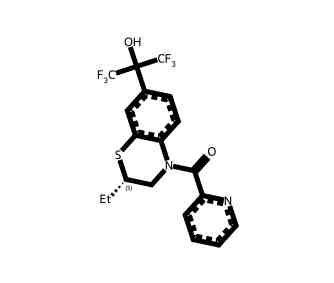 CC[C@H]1CN(C(=O)c2ccccn2)c2ccc(C(O)(C(F)(F)F)C(F)(F)F)cc2S1